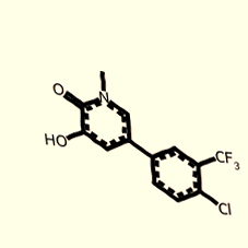 Cn1cc(-c2ccc(Cl)c(C(F)(F)F)c2)cc(O)c1=O